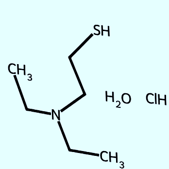 CCN(CC)CCS.Cl.O